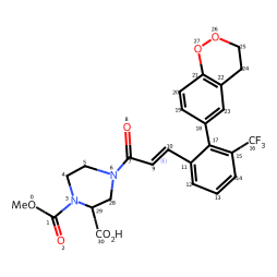 COC(=O)N1CCN(C(=O)/C=C/c2cc[c]c(C(F)(F)F)c2-c2ccc3c(c2)CCOO3)CC1C(=O)O